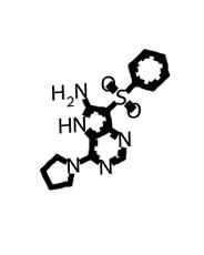 Nc1[nH]c2c(N3CCCC3)ncnc2c1S(=O)(=O)c1ccccc1